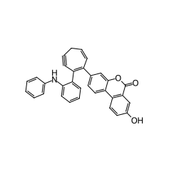 O=c1oc2cc(C3=C(c4ccccc4Nc4ccccc4)C#CCC=C3)ccc2c2ccc(O)cc12